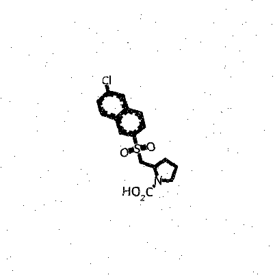 O=C(O)N1CCCC1CS(=O)(=O)c1ccc2cc(Cl)ccc2c1